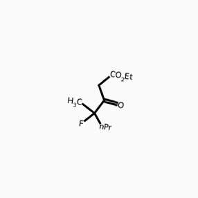 CCCC(C)(F)C(=O)CC(=O)OCC